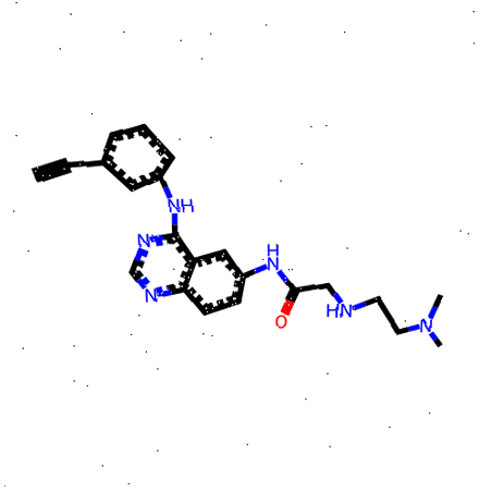 C#Cc1cccc(Nc2ncnc3ccc(NC(=O)CNCCN(C)C)cc23)c1